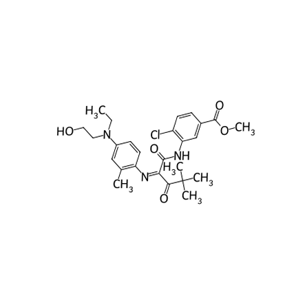 CCN(CCO)c1ccc(/N=C(\C(=O)Nc2cc(C(=O)OC)ccc2Cl)C(=O)C(C)(C)C)c(C)c1